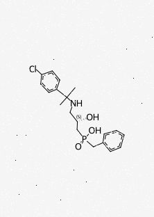 CC(C)(NC[C@H](O)CP(=O)(O)Cc1ccccc1)c1ccc(Cl)cc1